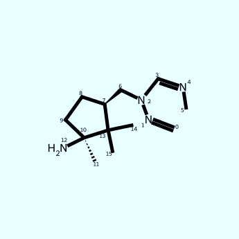 C=NN(/C=N\C)C[C@@H]1CC[C@](C)(N)C1(C)C